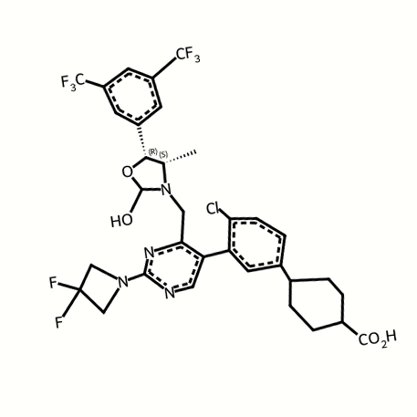 C[C@H]1[C@@H](c2cc(C(F)(F)F)cc(C(F)(F)F)c2)OC(O)N1Cc1nc(N2CC(F)(F)C2)ncc1-c1cc(C2CCC(C(=O)O)CC2)ccc1Cl